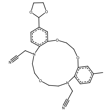 Cc1ccc2c(c1)OCCOc1cc(C3OCCO3)ccc1N(CC#N)CCOCCN2CC#N